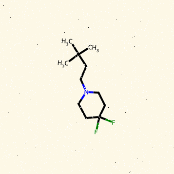 CC(C)(C)CCN1CCC(F)(F)CC1